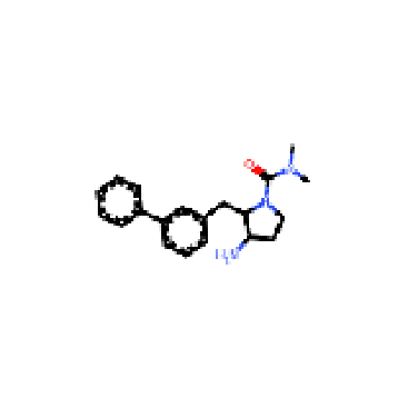 CN(C)C(=O)N1CCC(N)C1Cc1cccc(-c2ccccc2)c1